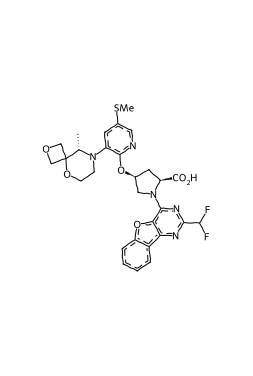 CSc1cnc(O[C@H]2C[C@@H](C(=O)O)N(c3nc(C(F)F)nc4c3oc3ccccc34)C2)c(N2CCOC3(COC3)[C@@H]2C)c1